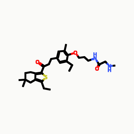 CCc1cc(CCC(=O)c2sc(CC)c3c2CCC(C)(C)C3)cc(C)c1OCCCNC(=O)CNC